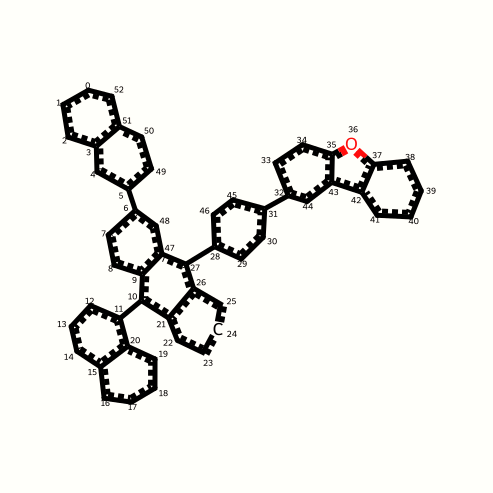 c1ccc2cc(-c3ccc4c(-c5cccc6ccccc56)c5ccccc5c(-c5ccc(-c6ccc7oc8ccccc8c7c6)cc5)c4c3)ccc2c1